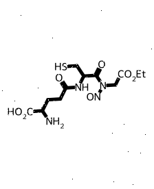 CCOC(=O)CN(N=O)C(=O)C(CS)NC(=O)CCC(N)C(=O)O